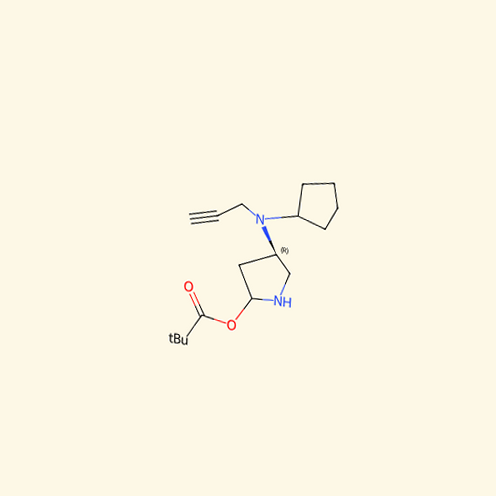 C#CCN(C1CCCC1)[C@H]1CNC(OC(=O)C(C)(C)C)C1